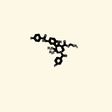 CCOC(=O)C1=CN(C(=O)c2ccc(F)cc2)CC(C)(C)c2c1[nH]c1ccc(NC(=O)c3ccc(F)cc3)cc21